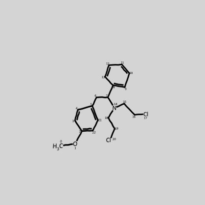 COc1ccc(CC(c2ccccc2)N(CCCl)CCCl)cc1